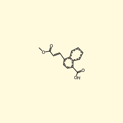 COC(=O)C=Cc1ccc(C(=O)O)c2ccccc12